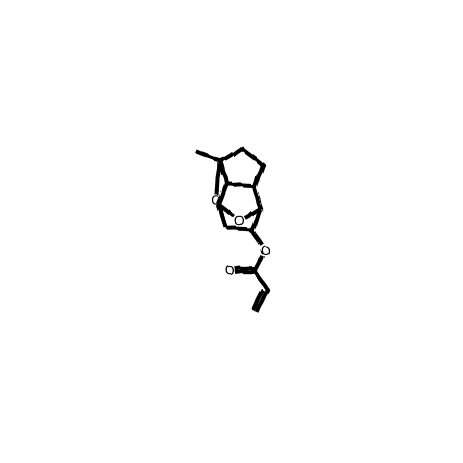 C=CC(=O)OC1C2OC3C1OC1(C)CCC2C31